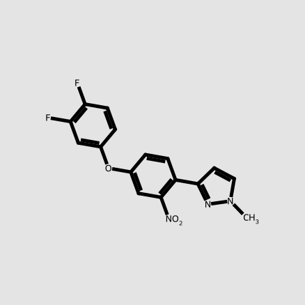 Cn1ccc(-c2ccc(Oc3ccc(F)c(F)c3)cc2[N+](=O)[O-])n1